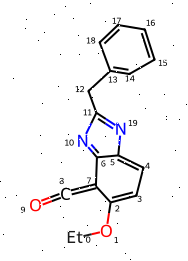 CCOc1ccc2c(c1=C=O)=NC(Cc1ccccc1)=N2